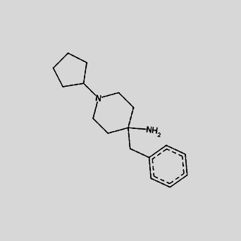 NC1(Cc2ccccc2)CCN(C2CCCC2)CC1